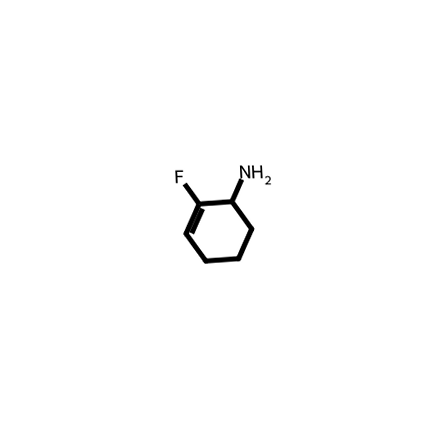 NC1CCCC=C1F